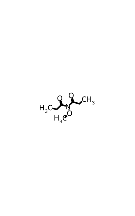 CCC(=O)N(OC)C(=O)CC